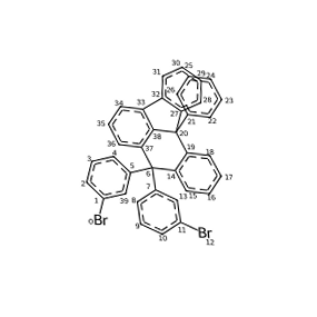 Brc1cccc(C2(c3cccc(Br)c3)c3ccccc3C3(c4ccccc4)c4ccccc4-c4cccc2c43)c1